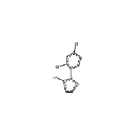 Sc1ccnn1-c1ccc(Cl)cc1Cl